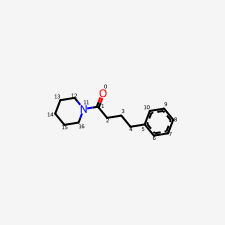 O=C(CCCc1ccccc1)N1CCCCC1